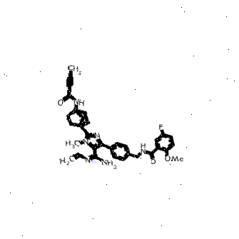 C=C/N=C(/N)c1c(-c2ccc(CNC(=O)c3cc(F)ccc3OC)cc2)nc(C23CCC(NC(=O)C#CC)(CC2)C3)n1C